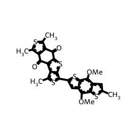 COc1c2cc(-c3sc(C)c4c5c(sc34)C(=O)c3c(C)sc(C)c3C5=O)sc2c(OC)c2cc(C)sc12